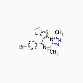 Cc1nnc2n1-c1sc3c(c1C(c1ccc(Br)cc1)=N[C@H]2C)CCC3